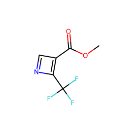 COC(=O)C1=C(C(F)(F)F)N=C1